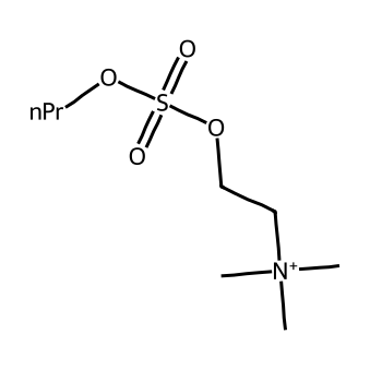 CCCOS(=O)(=O)OCC[N+](C)(C)C